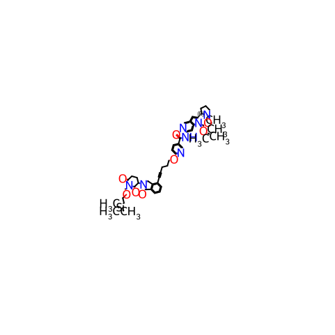 CN1CCC[C@@H]1c1cc2cnc(NC(=O)c3ccc(OCCCC#Cc4cccc5c4CN(C4CCC(=O)N(COCC[Si](C)(C)C)C4=O)C5=O)nc3)cc2n1C(=O)OC(C)(C)C